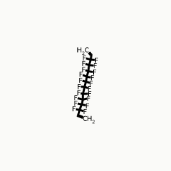 C=CC(F)(F)C(F)(F)C(F)(F)C(F)(F)C(F)(F)C(F)(F)C(F)(F)C(F)(F)C(F)(F)C(F)(F)C=C